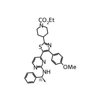 CCOC(=O)N1CCC(c2nc(-c3ccc(OC)cc3)c(-c3ccnc(N[C@@H](C)c4ccccc4)n3)s2)CC1